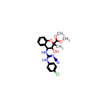 COC(OC)C1(C)Oc2ccccc2C(NC(=NC#N)Nc2ccc(Cl)cc2)C1O